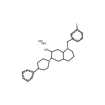 Cl.Cl.OC1CC2C(CCCN2Cc2cccc(I)c2)CC1N1CCC(c2ccccc2)CC1